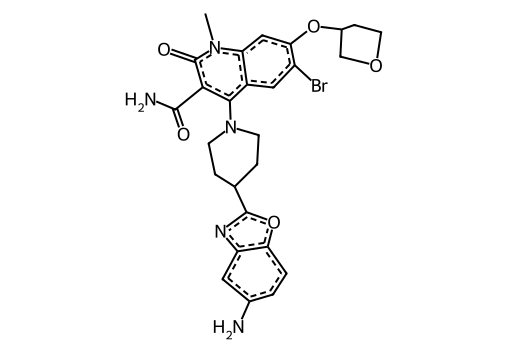 Cn1c(=O)c(C(N)=O)c(N2CCC(c3nc4cc(N)ccc4o3)CC2)c2cc(Br)c(OC3CCOC3)cc21